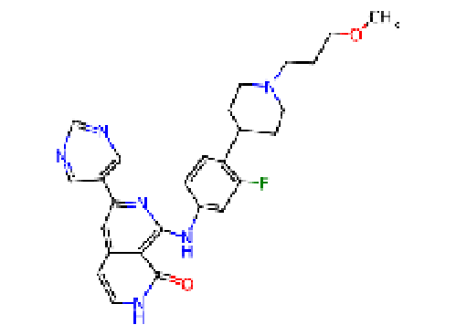 COCCCN1CCC(c2ccc(Nc3nc(-c4cncnc4)cc4cc[nH]c(=O)c34)cc2F)CC1